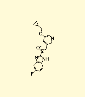 [O-][S@+](Cc1cncc(OCC2CC2)c1)c1nc2cc(F)ccc2[nH]1